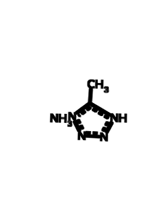 Cc1nnn[nH]1.N